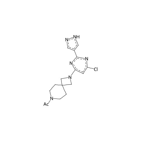 CC(=O)N1CCC2(CC1)CN(c1cc(Cl)nc(-c3cn[nH]c3)n1)C2